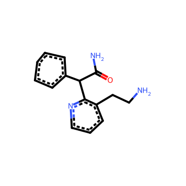 NCCc1cccnc1C(C(N)=O)c1ccccc1